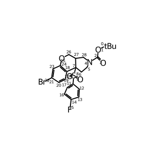 CC(C)(C)OC(=O)N1CCC2(S(=O)(=O)c3ccc(F)cc3)c3ccc(Br)cc3OCC2C1